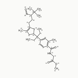 CCC(CC)(c1ccc(C(=O)NCC(=O)OC)c(C)c1)C1CC(C)=C(CCC(N=O)C(C)(C)C)S1